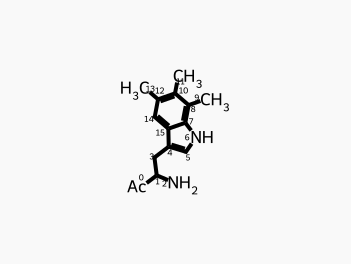 CC(=O)C(N)Cc1c[nH]c2c(C)c(C)c(C)cc12